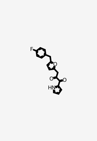 O=C(Cc1ccc(Cc2ccc(F)cc2)o1)C(=O)c1ccc[nH]1